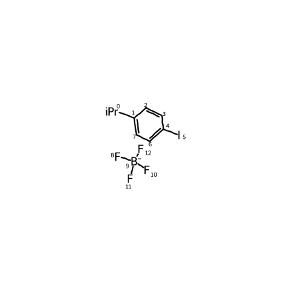 CC(C)c1ccc(I)cc1.F[B-](F)(F)F